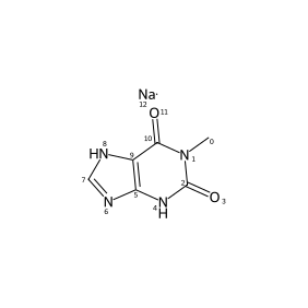 Cn1c(=O)[nH]c2nc[nH]c2c1=O.[Na]